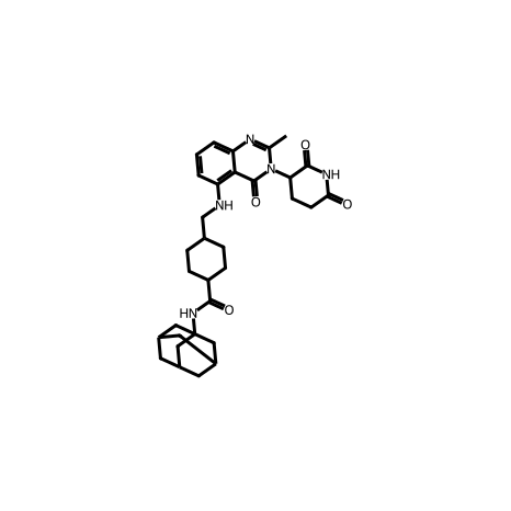 Cc1nc2cccc(NCC3CCC(C(=O)NC45CC6CC(CC(C6)C4)C5)CC3)c2c(=O)n1C1CCC(=O)NC1=O